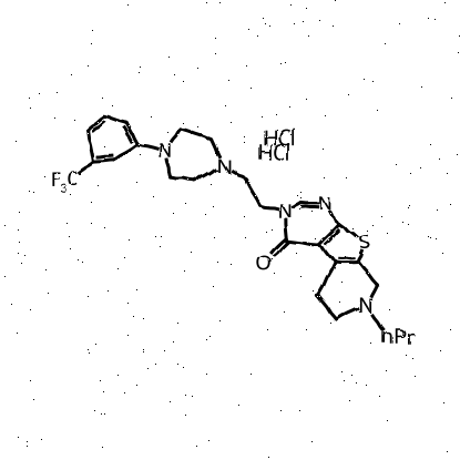 CCCN1CCc2c(sc3ncn(CCN4CCN(c5cccc(C(F)(F)F)c5)CC4)c(=O)c23)C1.Cl.Cl